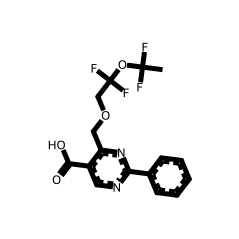 CC(F)(F)OC(F)(F)COCc1nc(-c2ccccc2)ncc1C(=O)O